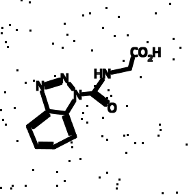 O=C(O)CNC(=O)n1nnc2ccccc21